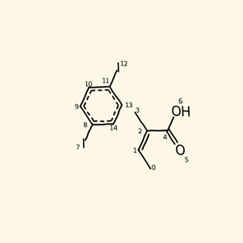 CC=C(C)C(=O)O.Ic1ccc(I)cc1